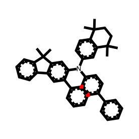 CC1(C)CCC(C)(C)c2cc(N(c3ccc(-c4ccccc4)cc3)c3cc4c(cc3-c3ccccc3)-c3ccccc3C4(C)C)ccc21